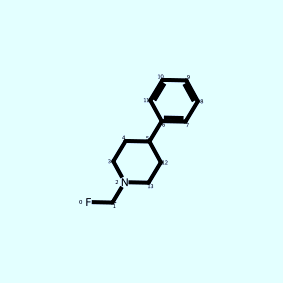 F[CH]N1CCC(c2ccccc2)CC1